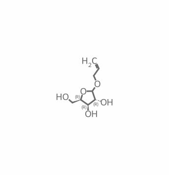 C=CCOC1O[C@H](CO)[C@H](O)[C@H]1O